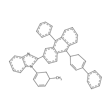 CC1C=CC=C(n2c(-c3ccc4c(C5C=CC(c6ccccc6)=CC5)c5ccccc5c(-c5ccccc5)c4c3)nc3ccccc32)C1